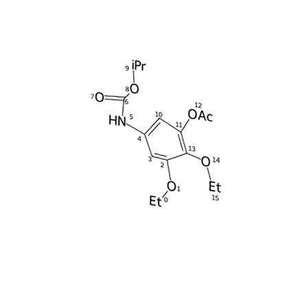 CCOc1cc(NC(=O)OC(C)C)cc(OC(C)=O)c1OCC